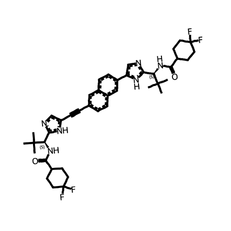 CC(C)(C)[C@H](NC(=O)C1CCC(F)(F)CC1)c1ncc(C#Cc2ccc3cc(-c4cnc([C@@H](NC(=O)C5CCC(F)(F)CC5)C(C)(C)C)[nH]4)ccc3c2)[nH]1